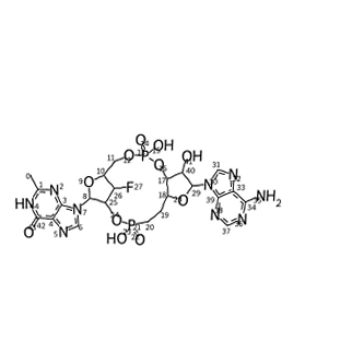 Cc1nc2c(ncn2C2OC3COP(=O)(O)OC4C(CCP(=O)(O)OC2C3F)OC(n2cnc3c(N)ncnc32)C4O)c(=O)[nH]1